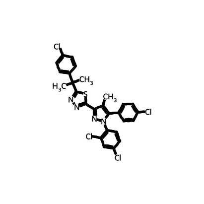 Cc1c(-c2nnc(C(C)(C)c3ccc(Cl)cc3)s2)nn(-c2ccc(Cl)cc2Cl)c1-c1ccc(Cl)cc1